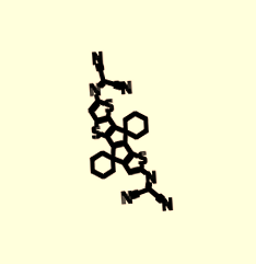 N#CC(C#N)=Nc1cc2c(s1)C1=C(c3sc4cc(N=C(C#N)C#N)sc4c3C13CCCCC3)C21CCCCC1